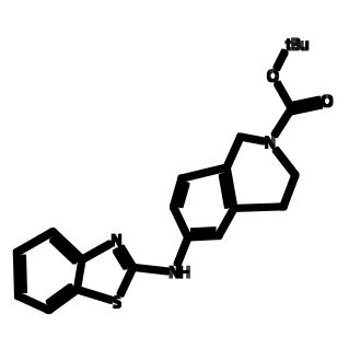 CC(C)(C)OC(=O)N1CCc2cc(Nc3nc4ccccc4s3)ccc2C1